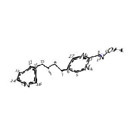 O/N=C/c1ncc(CCCCc2cccnc2)cn1